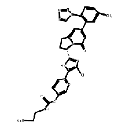 COCCNC(=O)Oc1ccc(-c2[nH]c([C@@H]3CCc4cc(-c5cc(C)ccc5-n5cnnn5)cc(=O)n43)nc2Cl)nc1